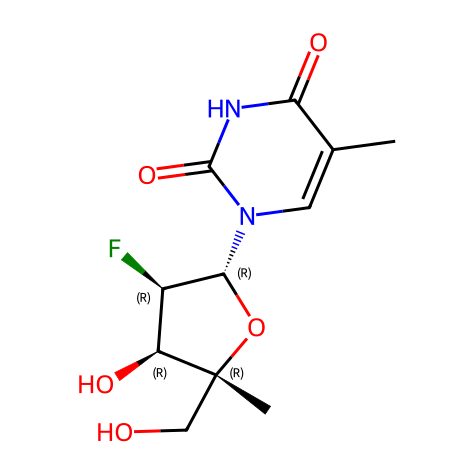 Cc1cn([C@@H]2O[C@](C)(CO)[C@@H](O)[C@H]2F)c(=O)[nH]c1=O